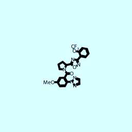 COc1ccc(-n2nccn2)c(C(=O)N2CCCC2c2nc(-c3ccccc3OC(F)(F)F)no2)c1